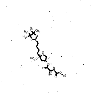 CC(C)[C@H](NC(=O)OC(C)(C)C)C(=O)N[C@H]1CN[C@@](CCCCB2OC(C)(C)C(C)(C)O2)(C(=O)O)C1